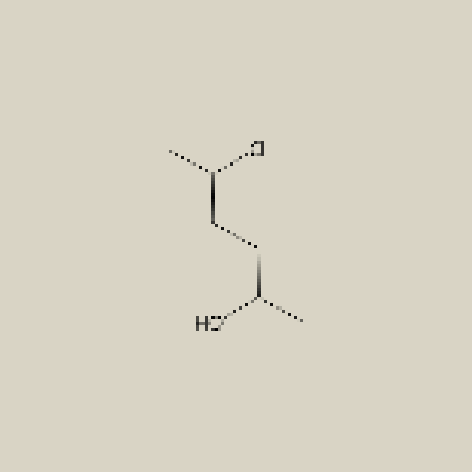 CC(O)CCC(C)Cl